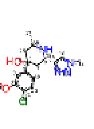 COc1cc([C@@]2(O)C[C@@H](c3cn(C)nn3)N[C@@H](C)C2)ccc1Cl